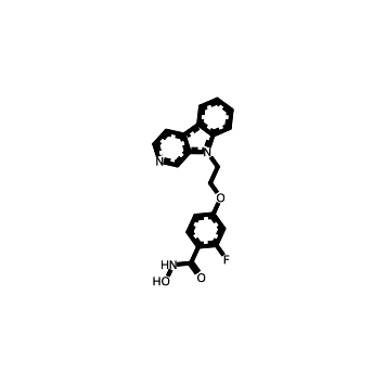 O=C(NO)c1ccc(OCCn2c3ccccc3c3ccncc32)cc1F